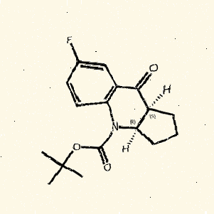 CC(C)(C)OC(=O)N1c2ccc(F)cc2C(=O)[C@H]2CCC[C@H]21